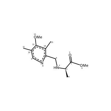 COC(=O)[C@@H](C)NCc1ncc(C)c(OC)c1C